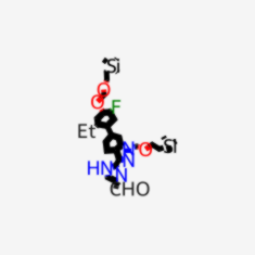 CCc1cc(OCOCC[Si](C)(C)C)c(F)cc1-c1ccc2c(-c3nc(C=O)c[nH]3)nn(COCC[Si](C)(C)C)c2c1